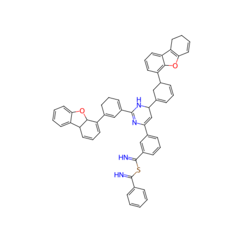 N=C(SC(=N)c1cccc(C2=CC(C3=CC=CC(c4cccc5c6c(oc45)C=CCC6)C3)NC(C3=CCCC(C4=CC=CC5c6ccccc6OC45)=C3)=N2)c1)c1ccccc1